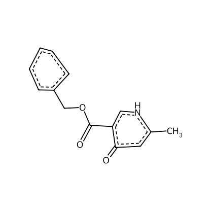 Cc1cc(=O)c(C(=O)OCc2ccccc2)c[nH]1